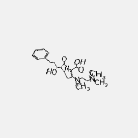 CN(C)CCN(C)C1=C(C(=O)O)N2C(=O)C(C(O)CCc3ccccc3)C2C1